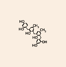 Cc1cc(Cc2ccc(O)cc2O)c(O)c(Cc2cc(C)cc(Cc3ccc(O)cc3O)c2O)c1